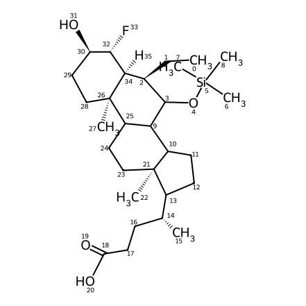 CC[C@H]1C(O[Si](C)(C)C)C2C3CCC([C@H](C)CCC(=O)O)[C@@]3(C)CCC2[C@@]2(C)CC[C@@H](O)[C@H](F)[C@@H]12